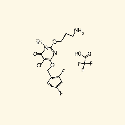 CC(C)n1c(OCCCN)nc(OCc2ccc(F)cc2F)c(Cl)c1=O.O=C(O)C(F)(F)F